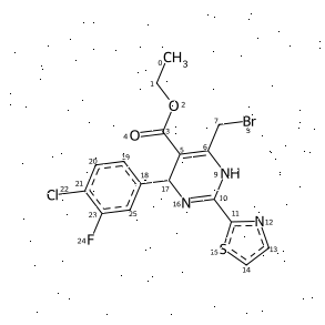 CCOC(=O)C1=C(CBr)NC(c2nccs2)=NC1c1ccc(Cl)c(F)c1